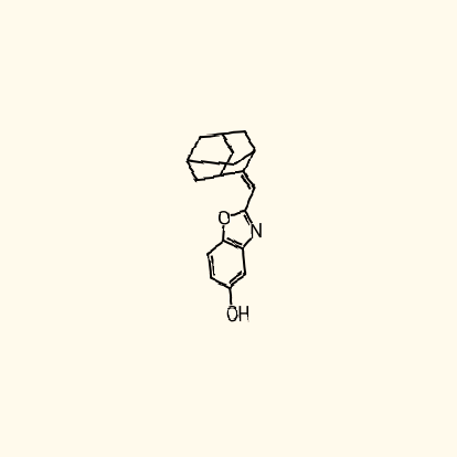 Oc1ccc2oc(C=C3C4CC5CC(C4)CC3C5)nc2c1